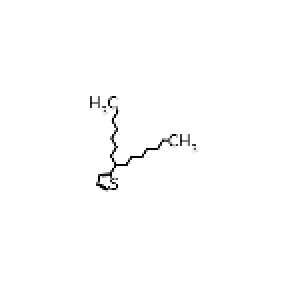 CCCCCCCC(CCCCCCC)c1cccs1